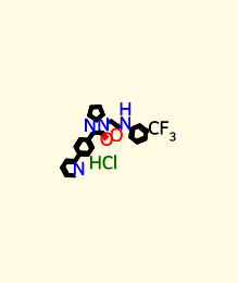 Cl.O=C(CN1C(=O)C(c2ccc(-c3ccccn3)cc2)=NC12CCCC2)Nc1cccc(C(F)(F)F)c1